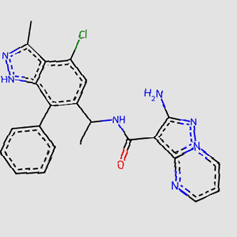 Cc1n[nH]c2c(-c3ccccc3)c(C(C)NC(=O)c3c(N)nn4cccnc34)cc(Cl)c12